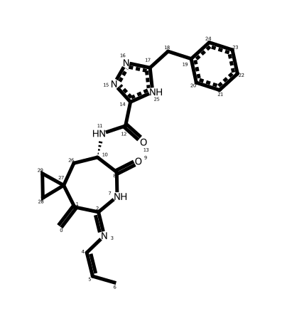 C=C1/C(=N\C=C/C)NC(=O)[C@@H](NC(=O)c2nnc(Cc3ccccc3)[nH]2)CC12CC2